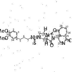 COc1ccc(CCCNC(=S)N2C[C@H]3CC2[C@H]2C(=O)N(c4cnc(C#N)c5ccccc45)C(=O)N32)cc1OC